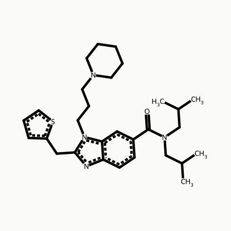 CC(C)CN(CC(C)C)C(=O)c1ccc2nc(Cc3cccs3)n(CCCN3CCCCC3)c2c1